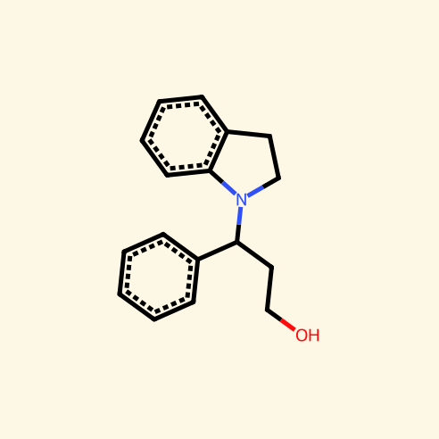 OCCC(c1ccccc1)N1CCc2ccccc21